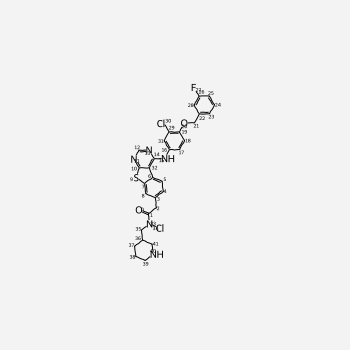 O=C(Cc1ccc2c(c1)sc1ncnc(Nc3ccc(OCc4cccc(F)c4)c(Cl)c3)c12)N(Cl)CC1CCCNC1